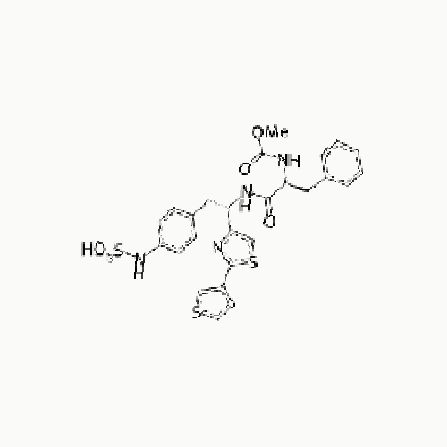 COC(=O)N[C@@H](Cc1ccccc1)C(=O)N[C@@H](Cc1ccc(NS(=O)(=O)O)cc1)c1csc(-c2ccsc2)n1